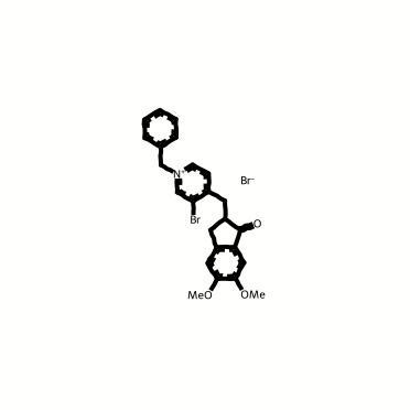 COc1cc2c(cc1OC)C(=O)C(Cc1cc[n+](Cc3ccccc3)cc1Br)C2.[Br-]